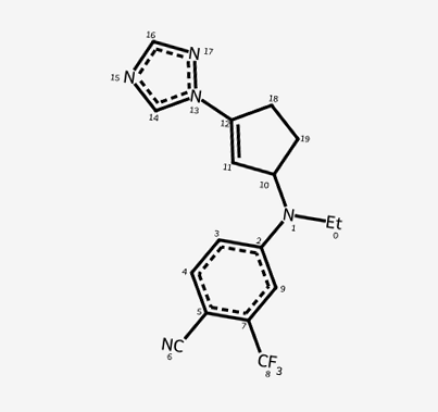 CCN(c1ccc(C#N)c(C(F)(F)F)c1)C1C=C(n2cncn2)CC1